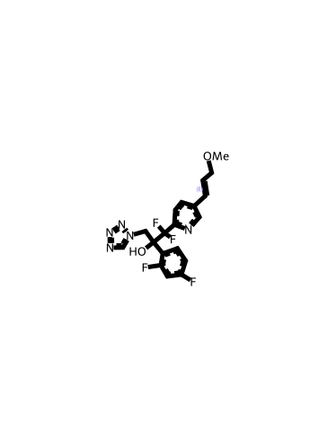 COC/C=C/c1ccc(C(F)(F)C(O)(Cn2cnnn2)c2ccc(F)cc2F)nc1